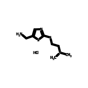 CN(C)CCSc1ncc(CN)s1.Cl